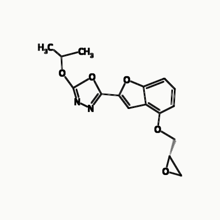 CC(C)Oc1nnc(-c2cc3c(OC[C@@H]4CO4)cccc3o2)o1